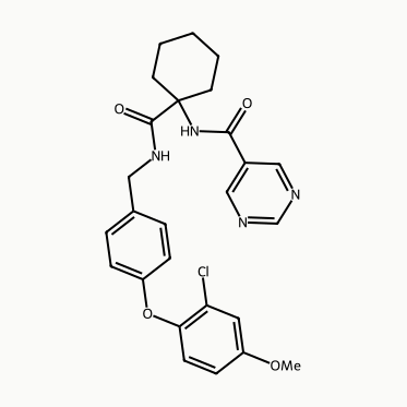 COc1ccc(Oc2ccc(CNC(=O)C3(NC(=O)c4cncnc4)CCCCC3)cc2)c(Cl)c1